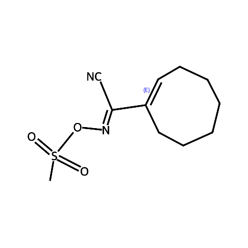 CS(=O)(=O)ON=C(C#N)/C1=C/CCCCCC1